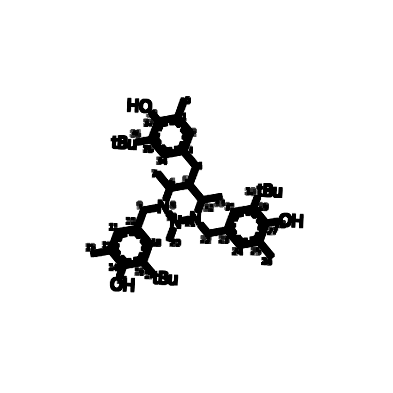 Cc1cc(CC2C(C)N(Cc3cc(C)c(O)c(C(C)(C)C)c3)N(C)N(Cc3cc(C)c(O)c(C(C)(C)C)c3)C2C)cc(C(C)(C)C)c1O